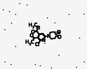 COC(=O)c1cc(N2CCS(=O)(=O)CC2)nc(Cl)c1C(C)=O